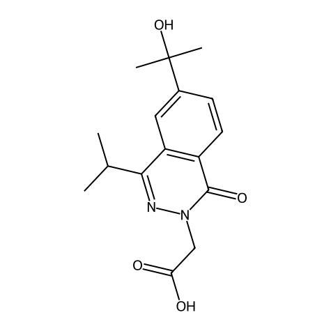 CC(C)c1nn(CC(=O)O)c(=O)c2ccc(C(C)(C)O)cc12